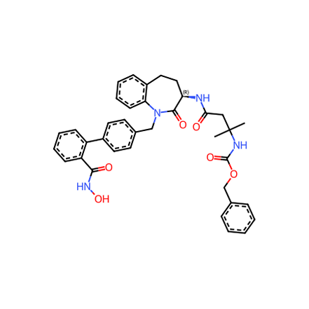 CC(C)(CC(=O)N[C@@H]1CCc2ccccc2N(Cc2ccc(-c3ccccc3C(=O)NO)cc2)C1=O)NC(=O)OCc1ccccc1